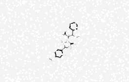 CCC(c1ccccc1)C(C(=O)O)N1C(=O)NC(c2ccc(OC)cc2)C1=O